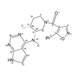 CC(C)c1oncc1C(=O)N1CC[C@@H](C)[C@@H](N(C)c2ncnc3[nH]ccc23)C1